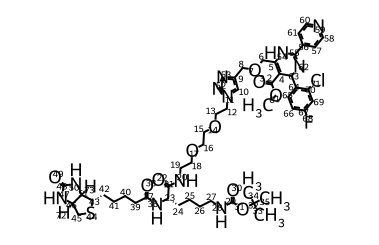 COC(=O)C1=C(COCc2cn(CCOCCOCCNC(=O)[C@H](CCCCNC(=O)OC(C)(C)C)NC(=O)CCCC[C@@H]3SC[C@@H]4NC(=O)N[C@@H]43)nn2)NC(c2ccncc2)=NC1c1ccc(F)cc1Cl